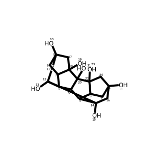 OC12CC3C4C5C6C7CC(O)(CC6(O)C4(O)C1)CC7(O)C5(O)C3(O)C2